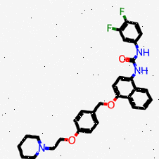 O=C(Nc1ccc(F)c(F)c1)Nc1ccc(OCc2ccc(OCCN3CCCCC3)cc2)c2ccccc12